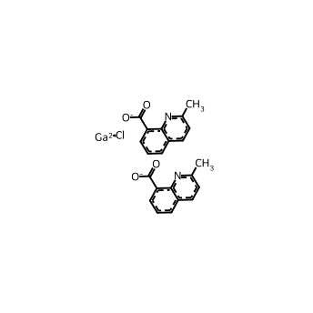 Cc1ccc2cccc(C(=O)[O-])c2n1.Cc1ccc2cccc(C(=O)[O-])c2n1.[Cl][Ga+2]